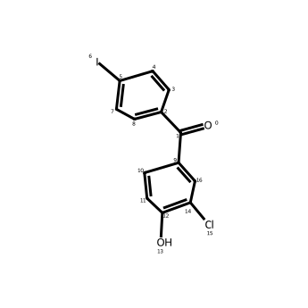 O=C(c1ccc(I)cc1)c1ccc(O)c(Cl)c1